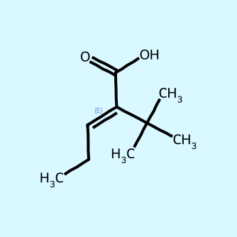 CC/C=C(/C(=O)O)C(C)(C)C